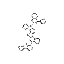 c1ccc(-c2nc(-n3c4ccccc4c4c5oc6cc(-c7cccc8c7oc7ccccc78)c7ccccc7c6c5ccc43)nc3ccccc23)cc1